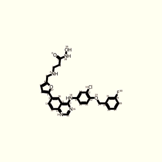 O=C(CCNCc1ccc(-c2ccc3ncnc(Nc4ccc(OCc5cccc(F)c5)c(Cl)c4)c3c2)o1)NO